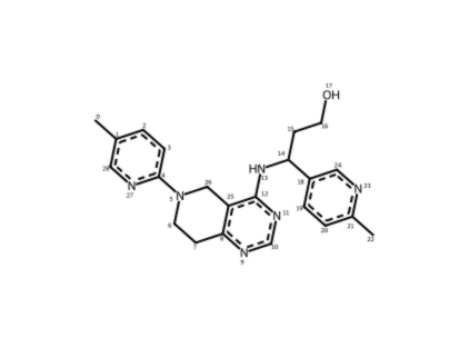 Cc1ccc(N2CCc3ncnc(NC(CCO)c4ccc(C)nc4)c3C2)nc1